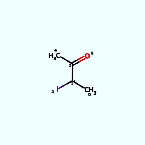 C[C](I)C(C)=O